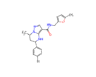 CCc1ccc(C2CC(C(F)(F)F)n3ncc(C(=O)NCc4ccc(C)o4)c3N2)cc1